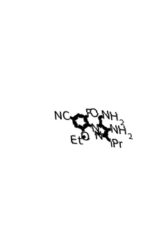 CCOc1cc(C#N)cc(F)c1-n1nc(C(C)C)c(N)c1C(N)=O